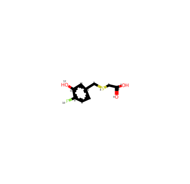 O=C(O)CSCc1ccc(F)c(O)c1